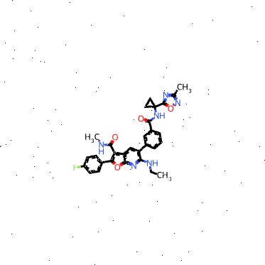 CCNc1nc2oc(-c3ccc(F)cc3)c(C(=O)NC)c2cc1-c1cccc(C(=O)NC2(c3nc(C)no3)CC2)c1